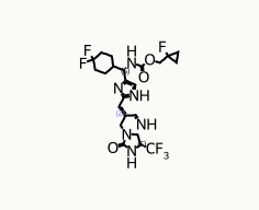 N=C/C(=C\c1nc([C@@H](NC(=O)OCC2(F)CC2)C2CCC(F)(F)CC2)c[nH]1)CN1C[C@@H](C(F)(F)F)NC1=O